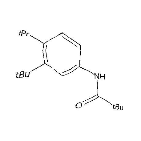 CC(C)c1ccc(NC(=O)C(C)(C)C)cc1C(C)(C)C